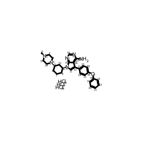 CN1CCN([C@@H]2CCC[C@H](n3cc(-c4ccc(Oc5ccccc5)cc4)c4c(N)ncnc43)C2)CC1.Cl.Cl.Cl